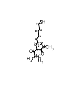 CN(C)C(=O)C(CCCCCCCS)C(=O)N(C)C